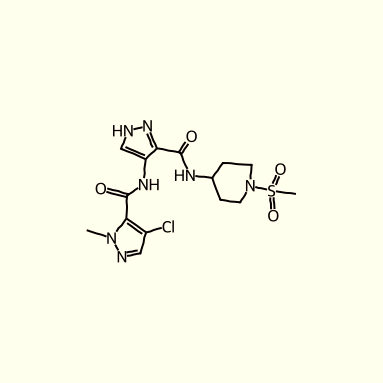 Cn1ncc(Cl)c1C(=O)Nc1c[nH]nc1C(=O)NC1CCN(S(C)(=O)=O)CC1